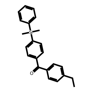 CCc1ccc(C(=O)c2ccc([Si](C)(C)c3ccccc3)cc2)cc1